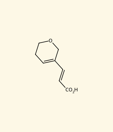 O=C(O)/C=C/C1=CCCOC1